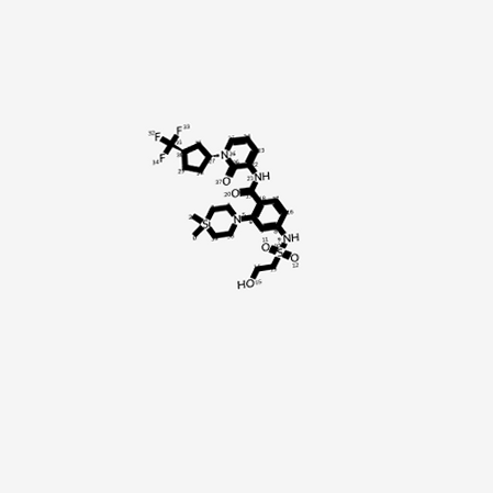 C[Si]1(C)CCN(c2cc(NS(=O)(=O)CCO)ccc2C(=O)Nc2cccn([C@@H]3CC[C@@H](C(F)(F)F)C3)c2=O)CC1